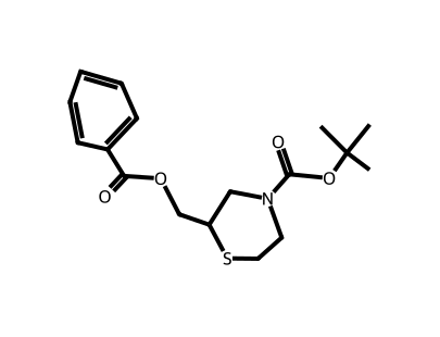 CC(C)(C)OC(=O)N1CCSC(COC(=O)c2ccccc2)C1